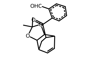 CC1(C)OC2C3C=CC(C(C(=O)c4ccccc4C=O)C3)C2O1